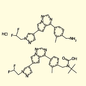 Cc1cc(-c2ncnn3cc(-c4cnn(CC(F)F)c4)cc23)ccc1CN.Cc1cc(-c2ncnn3cc(-c4cnn(CC(F)F)c4)cc23)ccc1CN(C(=O)O)C(C)(C)C.Cl